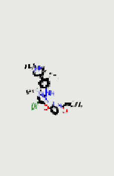 C=CC(=O)Nc1cccc(Oc2nc(Nc3cc(C)c(C4CCN(C)CC4)cc3OC)ncc2Br)c1